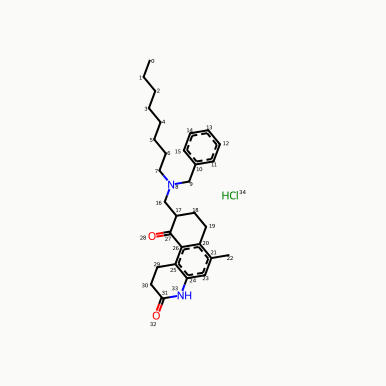 CCCCCCCCN(Cc1ccccc1)CC1CCc2c(C)cc3c(c2C1=O)CCC(=O)N3.Cl